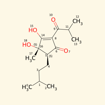 CC(C)CC[C@@H]1C(=O)C(C(=O)C(C)C)=C(O)[C@@]1(C)O